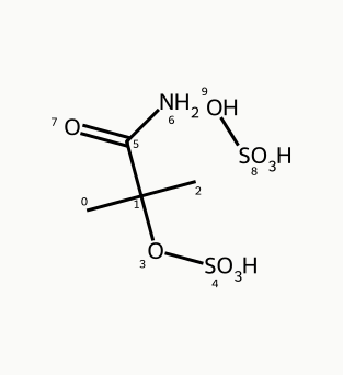 CC(C)(OS(=O)(=O)O)C(N)=O.O=S(=O)(O)O